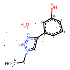 O.O=C(O)Cn1cc(-c2cccc(O)c2)nn1